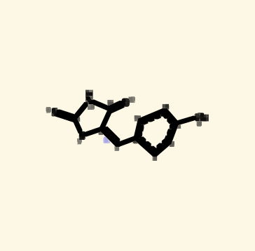 CC(C)(C)c1ccc(/C=C2/SC(=S)NC2=O)cc1